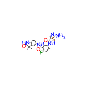 Cc1cc(F)c(C(=O)Nc2ccc3c(c2)C(C)(C)C(=O)N3)cc1NC(=O)c1cnc(N)s1